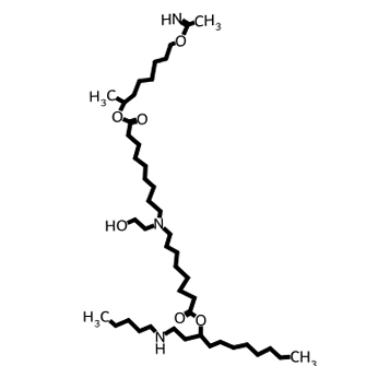 CCCCCCCCC(CCNCCCCC)OC(=O)CCCCCCCN(CCO)CCCCCCCCC(=O)OC(C)CCCCCCOC(C)=N